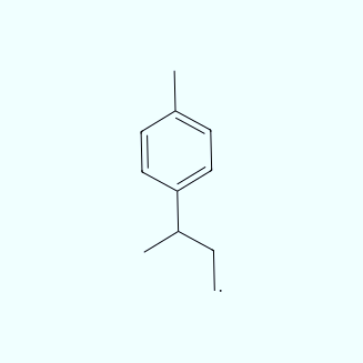 [CH2]CC(C)c1ccc(C)cc1